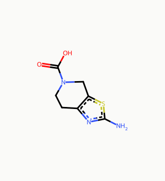 Nc1nc2c(s1)CN(C(=O)O)CC2